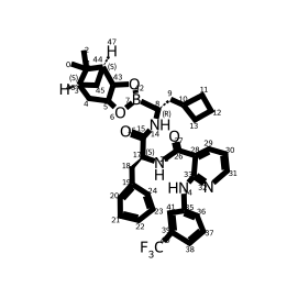 CC1(C)[C@@H]2CC3OB([C@H](CC4CCC4)NC(=O)[C@H](Cc4ccccc4)NC(=O)c4cccnc4Nc4cccc(C(F)(F)F)c4)OC3[C@H]1C2